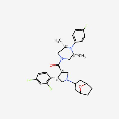 C[C@@H]1CN(C(=O)[C@H]2CN(C3CC4CCC(C3)O4)C[C@@H]2c2ccc(F)cc2F)C[C@H](C)N1c1ccc(F)cc1